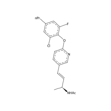 CCCc1cc(F)c(Oc2ccc(/C=C/[C@H](C)NC(C)=O)cn2)c(Cl)c1